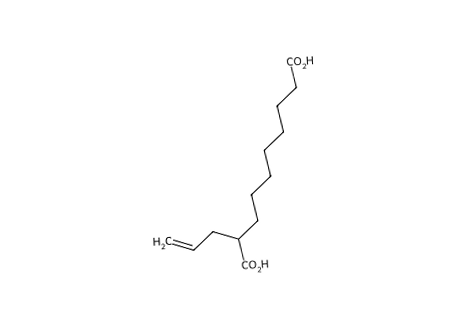 C=CCC(CCCCCCCC(=O)O)C(=O)O